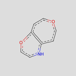 c1coc2ccoccc=2[nH]1